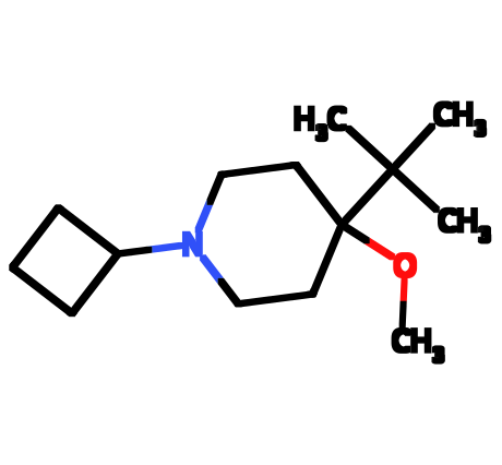 COC1(C(C)(C)C)CCN(C2CCC2)CC1